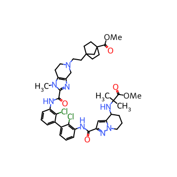 COC(=O)C12CCC(CCN3CCc4c(nc(C(=O)Nc5cccc(-c6cccc(NC(=O)c7cc8n(n7)CCCC8NC(C)(C)C(=O)OC)c6Cl)c5Cl)n4C)C3)(CC1)C2